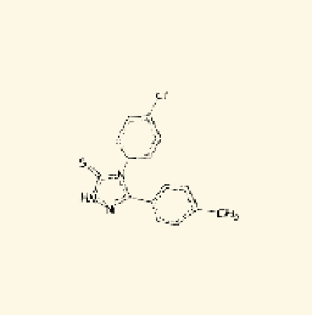 Cc1ccc(-c2n[nH]c(=S)n2-c2ccc(Cl)cc2)cc1